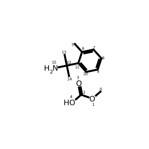 COC(=O)O.Cc1ccccc1C(C)(C)N